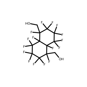 OCC1(F)C(F)(F)C(F)(F)C(F)(F)C2(F)C(F)(CO)C(F)(F)C(F)(F)C(F)(F)C12F